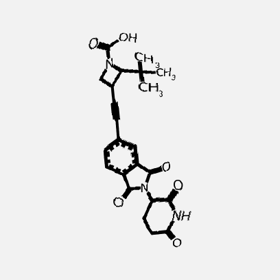 CC(C)(C)C1C(C#Cc2ccc3c(c2)C(=O)N(C2CCC(=O)NC2=O)C3=O)CN1C(=O)O